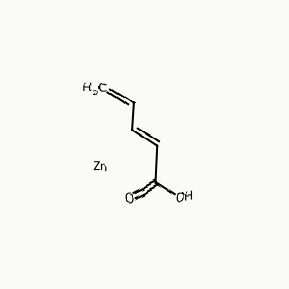 C=CC=CC(=O)O.[Zn]